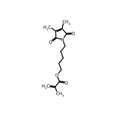 C=C(C)C(=O)OCCCCCN1C(=O)C(C)=C(C)C1=O